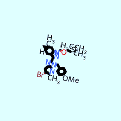 COc1ccc(Cn2c(-c3nn(COCC[Si](C)(C)C)c4c3C[C@@H]3C[C@]3(C)C4)nc3cc(Br)c(C)nc32)cc1